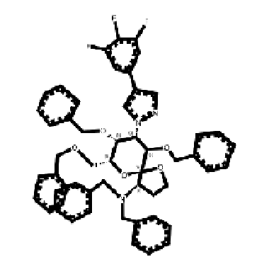 Fc1cc(-c2cnn([C@H]3[C@@H](OCc4ccccc4)[C@@H](COCc4ccccc4)O[C@]4(OCC[C@H]4N(Cc4ccccc4)Cc4ccccc4)[C@@H]3OCc3ccccc3)c2)cc(F)c1F